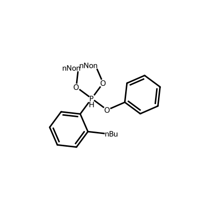 CCCCCCCCCO[PH](OCCCCCCCCC)(Oc1ccccc1)c1ccccc1CCCC